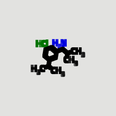 CC(C)c1cccc([C@H](N)C(C)C)c1.Cl